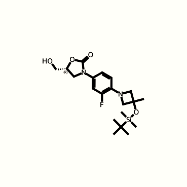 CC1(O[Si](C)(C)C(C)(C)C)CN(c2ccc(N3C[C@H](CO)OC3=O)cc2F)C1